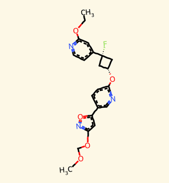 CCOc1cc([C@]2(F)C[C@@H](Oc3ccc(-c4cc(OCOC)no4)cn3)C2)ccn1